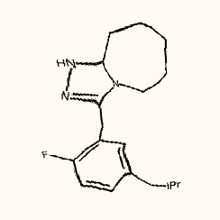 CC(C)c1ccc(F)c(C2=NNC3CCCCCN23)c1